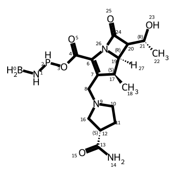 BNPOC(=O)C1=C(CN2CC[C@H](C(N)=O)C2)[C@H](C)[C@@H]2C([C@@H](C)O)C(=O)N12